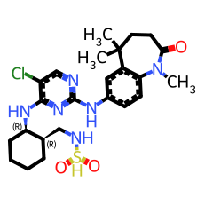 CN1C(=O)CCC(C)(C)c2cc(Nc3ncc(Cl)c(N[C@@H]4CCCC[C@@H]4CN[SH](=O)=O)n3)ccc21